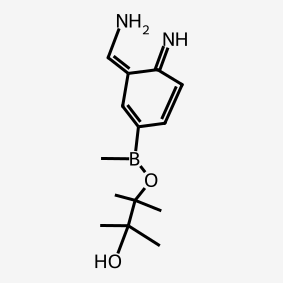 CB(OC(C)(C)C(C)(C)O)C1=C/C(=C/N)C(=N)C=C1